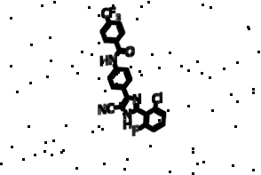 N#Cc1[nH]c(-c2c(F)cccc2Cl)nc1-c1ccc(NC(=O)c2ccc(C(F)(F)F)cc2)cc1